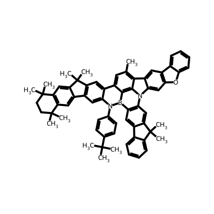 Cc1cc2c3c4c1c1cc5c(cc1n4-c1cc4c(cc1B3N(c1ccc(C(C)(C)C)cc1)c1cc3c(cc1-2)C(C)(C)c1cc2c(cc1-3)C(C)(C)CCC2(C)C)-c1ccccc1C4(C)C)oc1ccccc15